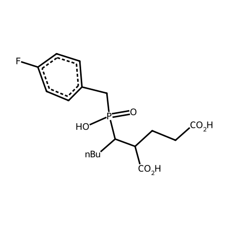 CCCCC(C(CCC(=O)O)C(=O)O)P(=O)(O)Cc1ccc(F)cc1